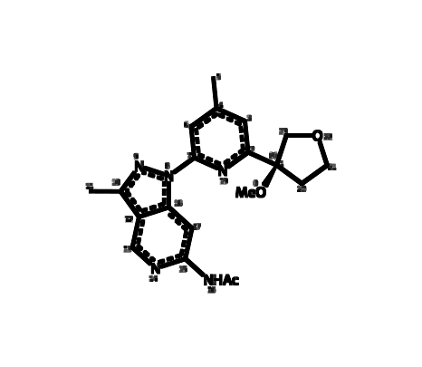 CO[C@]1(c2cc(C)cc(-n3nc(C)c4cnc(NC(C)=O)cc43)n2)CCOC1